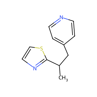 CC(Cc1ccncc1)c1nccs1